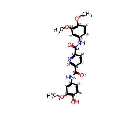 COc1cc(NC(=O)c2ccc(C(=O)Nc3ccc(OC)c(OC)c3)nc2)ccc1O